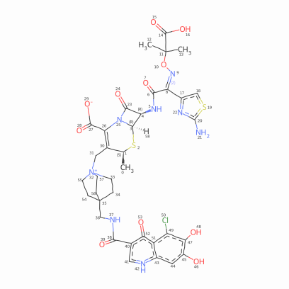 C[C@@H]1S[C@@H]2[C@H](NC(=O)/C(=N\OC(C)(C)C(=O)O)c3csc(N)n3)C(=O)N2C(C(=O)[O-])=C1C[N+]12CCC(CNC(=O)c3c[nH]c4cc(O)c(O)c(Cl)c4c3=O)(CC1)CC2